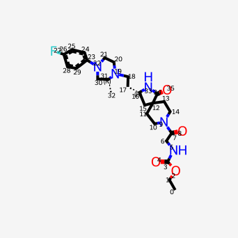 CCOC(=O)NCC(=O)N1CCC2(CC1)C[C@H](CCN1CCN(c3ccc(F)cc3)C[C@H]1C)NC2=O